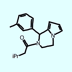 Cc1cccc(C2c3cccn3CCN2C(=O)CC(C)C)c1